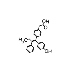 CCC(=C(c1ccc(O)cc1)c1ccc(CC(=O)O)cc1)c1ccccc1